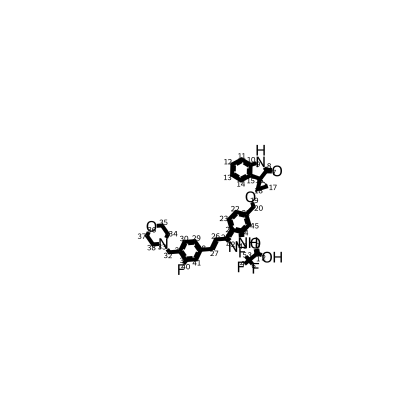 O=C(O)C(F)(F)F.O=C1Nc2ccccc2[C@@]12C[C@@H]2OCc1ccc2c(/C=C/c3ccc(CN4CCOCC4)c(F)c3)n[nH]c2c1